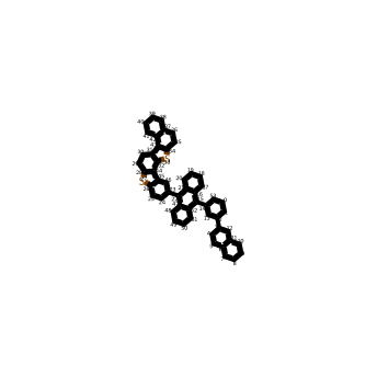 c1cc(-c2ccc3ccccc3c2)cc(-c2c3ccccc3c(-c3ccc4sc5ccc6c(sc7ccc8ccccc8c76)c5c4c3)c3ccccc23)c1